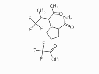 CC(=O)C(C(C)C(F)(F)F)N1CCCC1C(N)=O.O=C(O)C(F)(F)F